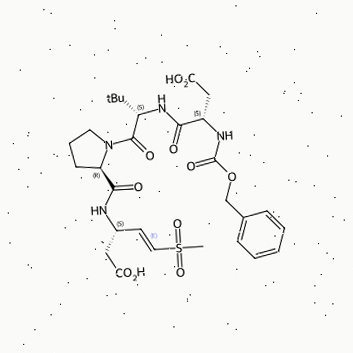 CC(C)(C)[C@H](NC(=O)[C@H](CC(=O)O)NC(=O)OCc1ccccc1)C(=O)N1CCC[C@@H]1C(=O)N[C@H](/C=C/S(C)(=O)=O)CC(=O)O